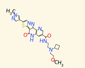 COCCN(CCNC(=O)c1cnc2c(c1)[nH]c(=O)c1c2nn2cc(-c3cnn(C)c3)sc12)C1CCC1